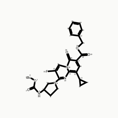 CC(C)(C)OC(=O)NC1CCN(c2nc3c(C4CC4)cc(C(=O)OCc4ccccc4)c(=O)n3cc2F)C1